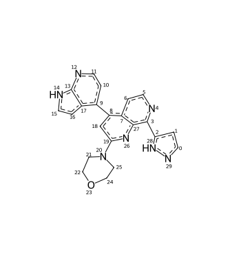 c1cc(-c2nccc3c(-c4ccnc5[nH]ccc45)cc(N4CCOCC4)nc23)[nH]n1